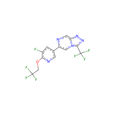 Fc1cc(-c2cn3c(C(F)(F)F)nnc3cn2)cnc1OCC(F)(F)F